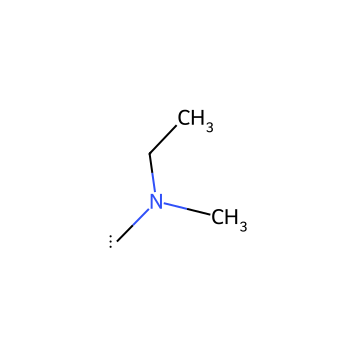 [C]N(C)CC